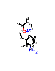 CCc1c(N(CC)OC(C)CC)ccc(N)c1C